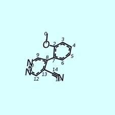 COc1ccccc1-c1cnncc1C#N